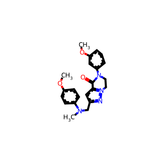 COc1ccc(N(C)Cc2cc3n(n2)CCN(c2cccc(OC)c2)C3=O)cc1